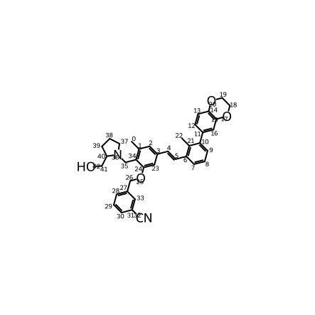 Cc1cc(C=Cc2cccc(-c3ccc4c(c3)OCCO4)c2C)cc(OCc2cccc(C#N)c2)c1CN1CCCC1CO